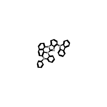 c1ccc(B2c3ccccc3-n3c4c2ccc2cccc(c24)n2c4cccc(-n5c6ccccc6c6ccccc65)c4nc32)cc1